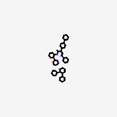 C=C1C(c2ccc(-c3ccccc3)cc2)=C=C(c2ccccc2)NC1c1cccc2oc3cc(-n4c5ccccc5c5c(-c6ccccc6)cccc54)ccc3c12